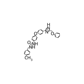 Cc1ccc(CNC(=O)Nc2ccc(Oc3ccc(-c4c[nH]c(COc5ccccc5)n4)cc3)cc2)cc1